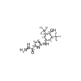 CC(C)(C)c1cc(Nc2nc(C(=O)NN)cs2)cc(C(C)(C)C)c1O